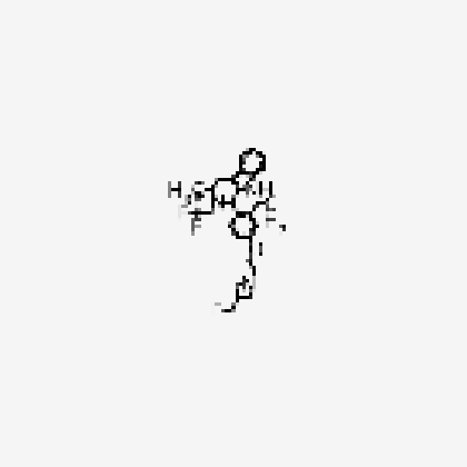 CCc1cc(OCCN2CC(CF)C2)ccc1C1c2[nH]c3ccccc3c2CC(C)N1CC(F)(F)F